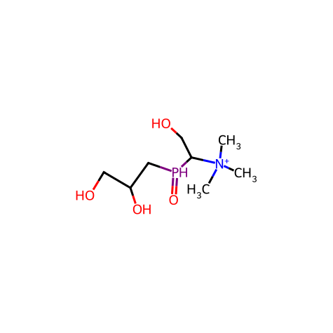 C[N+](C)(C)C(CO)[PH](=O)CC(O)CO